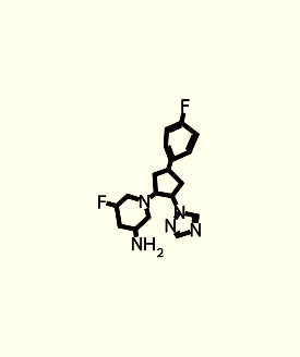 NC1CC(F)CN(C2CC(c3ccc(F)cc3)CC2n2cncn2)C1